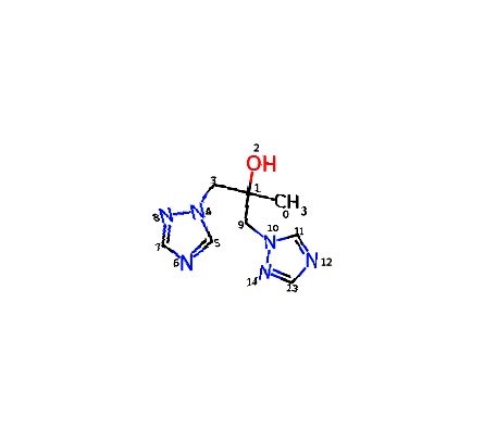 CC(O)(Cn1cncn1)Cn1cncn1